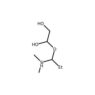 CCC(OC(O)CO)[SiH](C)C